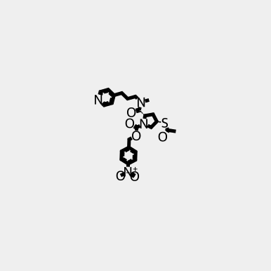 CC(=O)S[C@H]1C[C@@H](C(=O)N(C)CCCc2ccncc2)N(C(=O)OCc2ccc([N+](=O)[O-])cc2)C1